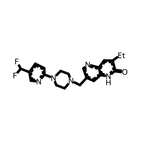 CCc1cc2ncc(CN3CCN(c4ccc(C(F)F)cn4)CC3)cc2[nH]c1=O